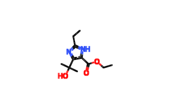 CCOC(=O)c1[nH]c(CC)nc1C(C)(C)O